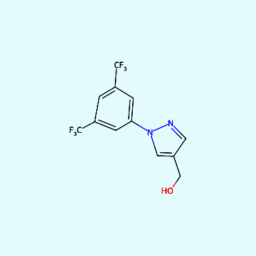 OCc1cnn(-c2cc(C(F)(F)F)cc(C(F)(F)F)c2)c1